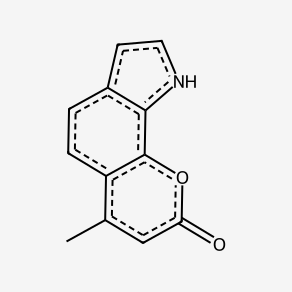 Cc1cc(=O)oc2c1ccc1cc[nH]c12